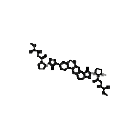 COC(=O)NCC(=O)N1CCC[C@H]1c1ncc(-c2ccc3c(c2)COc2cc4c(ccc5nc([C@@H]6CC[C@H](C)N6C(=O)CNC(=O)OC)[nH]c54)cc2-3)[nH]1